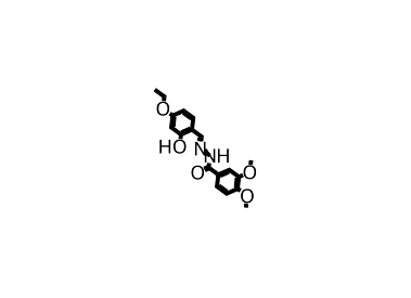 CCOc1ccc(C=NNC(=O)c2ccc(OC)c(OC)c2)c(O)c1